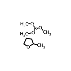 CC1CCCO1.COB(OC)OC